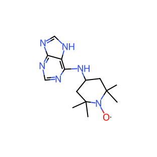 CC1(C)CC(Nc2ncnc3nc[nH]c23)CC(C)(C)N1[O]